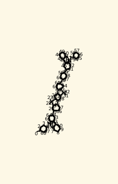 Cc1ccc(-n2c3ccccc3c3cc(-c4ccc5c(c4)C(C)(C)c4cc6c(cc4-5)C(C)(C)c4cc(-c5ccc(-c7ccc8c(c7)c7ccccc7n8-c7ccccc7)cc5)ccc4-6)ccc32)cc1